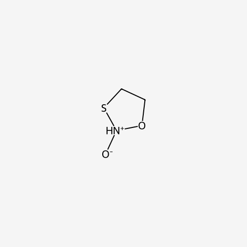 [O-][NH+]1OCCS1